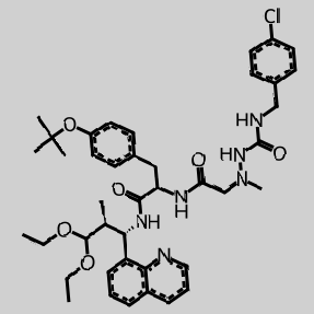 CCOC(OCC)[C@@H](C)[C@H](NC(=O)C(Cc1ccc(OC(C)(C)C)cc1)NC(=O)CN(C)NC(=O)NCc1ccc(Cl)cc1)c1cccc2cccnc12